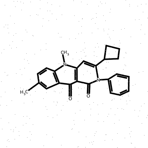 Cc1ccc2c(c1)c(=O)c1c(=O)n(-c3ccccc3)c(C3CCC3)cc1n2C